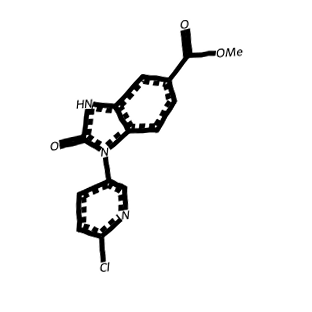 COC(=O)c1ccc2c(c1)[nH]c(=O)n2-c1ccc(Cl)nc1